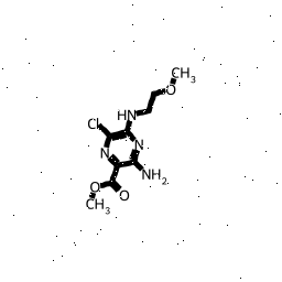 COCCNc1nc(N)c(C(=O)OC)nc1Cl